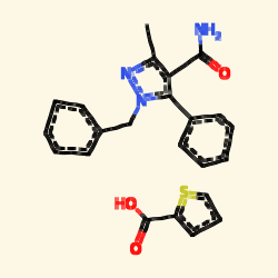 Cc1nn(Cc2ccccc2)c(-c2ccccc2)c1C(N)=O.O=C(O)c1cccs1